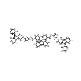 C(=C\c1ccc(-c2ccc3c(c2)c2ccccc2n3-c2ccccn2)s1)/c1ccc2c(c1)C1(c3ccccc3-c3ccccc31)c1cc(/C=C/c3ccc(-c4ccc5c(c4)c4ccccc4n5-c4ccccn4)s3)ccc1-2